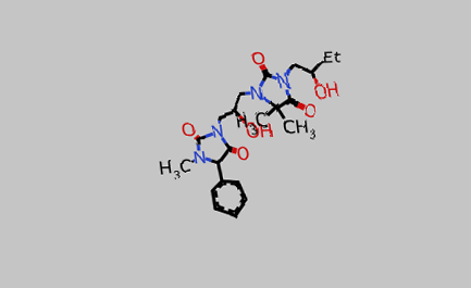 CCC(O)CN1C(=O)N(CC(O)CN2C(=O)C(c3ccccc3)N(C)C2=O)C(C)(C)C1=O